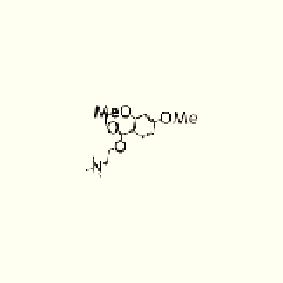 COc1ccc(C(=O)OCC[N+](C)(C)C)c(OC)c1.[I-]